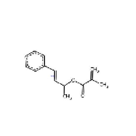 C=C(C)C(=O)OC(C)/C=C/c1ccccc1